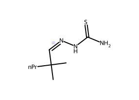 CCCC(C)(C)/C=N\NC(N)=S